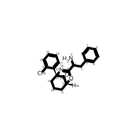 NC(Cc1ccccc1)C1=N[C@@]2(c3ccccc3Cl)CCC[C@@H](O1)C2=O